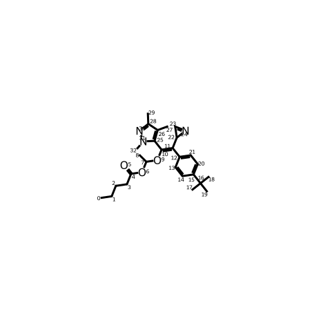 CCCCC(=O)OC(C)O/C(=C(\c1ccc(C(C)(C)C)cc1)C1C=N1)c1c(C)c(C)nn1C